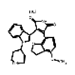 COc1ccc(C2=C(c3cn(C4CCNCC4)c4ccccc34)C(=O)NC2=O)c2c1CCO2.Cl